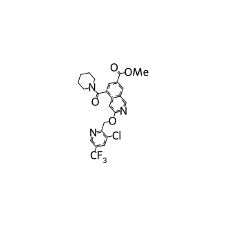 COC(=O)c1cc(C(=O)N2CCCCC2)c2cc(OCc3ncc(C(F)(F)F)cc3Cl)ncc2c1